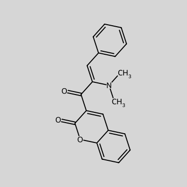 CN(C)C(=Cc1ccccc1)C(=O)c1cc2ccccc2oc1=O